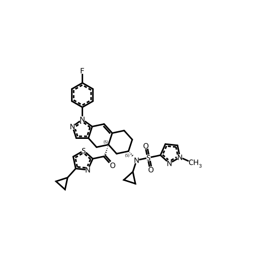 Cn1ccc(S(=O)(=O)N(C2CC2)[C@H]2CCC3=Cc4c(cnn4-c4ccc(F)cc4)C[C@]3(C(=O)c3nc(C4CC4)cs3)C2)n1